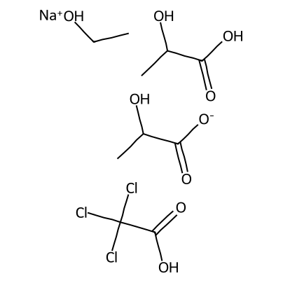 CC(O)C(=O)O.CC(O)C(=O)[O-].CCO.O=C(O)C(Cl)(Cl)Cl.[Na+]